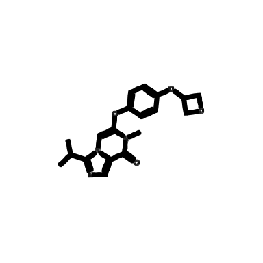 CC(C)c1ncc2c(=O)n(C)c(Oc3ccc(OC4COC4)cc3)cn12